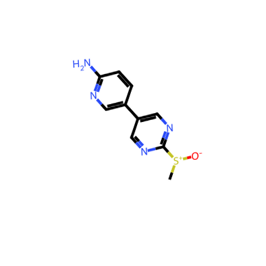 C[S+]([O-])c1ncc(-c2ccc(N)nc2)cn1